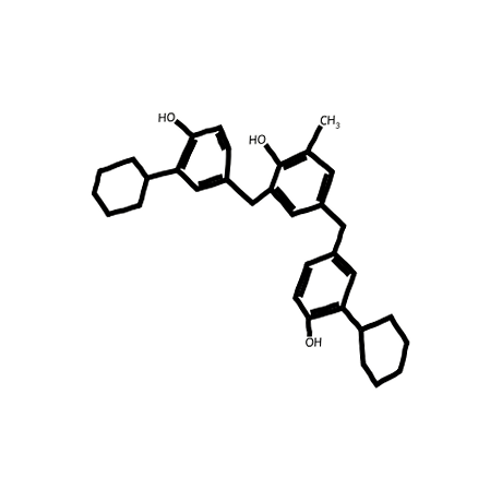 Cc1cc(Cc2ccc(O)c(C3CCCCC3)c2)cc(Cc2ccc(O)c(C3CCCCC3)c2)c1O